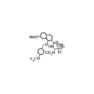 CCC(C)(C)C(NC(=O)c1ccc2ccc(OC)cc2c1OCc1ccc(OC(F)(F)F)cc1)C(=O)O